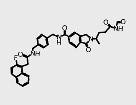 CC(CCC(=O)NC=O)N1Cc2cc(C(=O)NCc3ccc(CNC(=O)Cc4c(F)ccc5ccccc45)cc3)ccc2C1=O